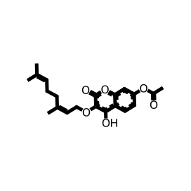 CC(=O)Oc1ccc2c(O)c(OCC=C(C)CCC=C(C)C)c(=O)oc2c1